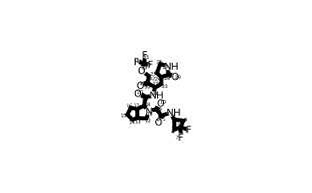 O=C(NC1CC(F)(F)C1)C(=O)N1CC2CCCC2C1C(=O)NC(CC1CCNC1=O)C(=O)COC(F)(F)F